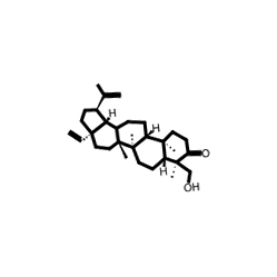 C=C[C@]12CC[C@@H](C(=C)C)[C@@H]1C1CC[C@@H]3[C@@]4(C)CCC(=O)[C@@](C)(CO)[C@@H]4CC[C@@]3(C)[C@]1(C)CC2